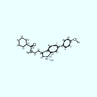 COc1ccc(-c2ccc3c(c2)[C@H](C)C[C@H]3CCN(C)C(=O)C2CCCCC2)cc1